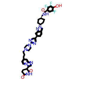 O=C1CCC(c2cnc3cc(CCCN4CCN(c5ncc(-c6ccc7cn([C@H]8CC[C@H](CNC(=O)c9cc(F)c(O)c(F)c9F)CC8)nc7c6)cn5)CC4)ccn23)C(=O)N1